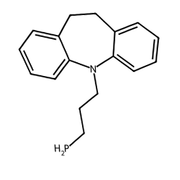 PCCCN1c2ccccc2CCc2ccccc21